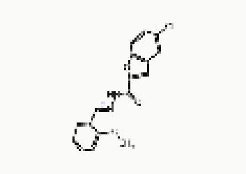 COc1ccccc1/C=N/NC(=O)c1cc2cc(Cl)ccc2o1